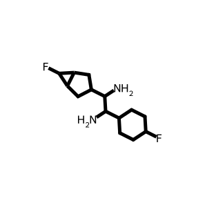 NC(C1CCC(F)CC1)C(N)C1CC2C(F)C2C1